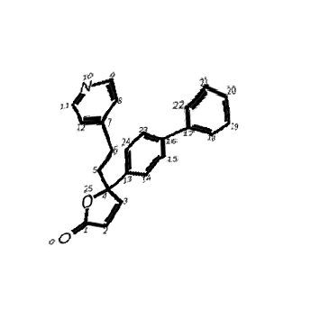 O=C1C=CC(CCc2ccncc2)(c2ccc(-c3ccccc3)cc2)O1